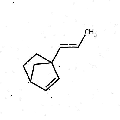 CC=CC12C=CC(CC1)C2